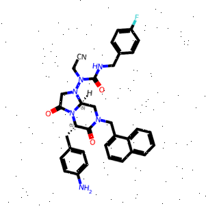 N#CCN(C(=O)NCc1ccc(F)cc1)N1CC(=O)N2[C@@H](Cc3ccc(N)cc3)C(=O)N(Cc3cccc4ccccc34)C[C@@H]21